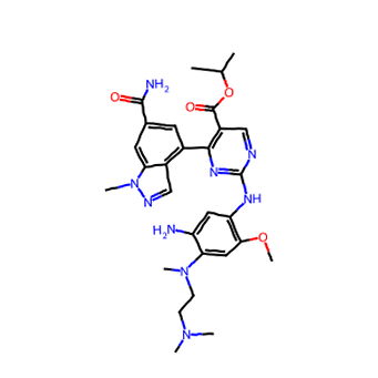 COc1cc(N(C)CCN(C)C)c(N)cc1Nc1ncc(C(=O)OC(C)C)c(-c2cc(C(N)=O)cc3c2cnn3C)n1